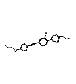 CCCOc1ccc(C#Cc2ccc(-c3ccc(CCC)cc3)c(F)c2)cc1